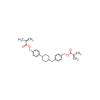 C=C(C)C(=O)OCc1ccc(CC2CCC(c3ccc(COC(=O)C(=C)C)cc3)CC2)cc1